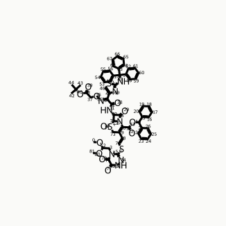 COC(Cn1c(SC=CC2=C(C(=O)OC(c3ccccc3)c3ccccc3)N3C(=O)C(NC(=O)C(=NOCC(=O)OC(C)(C)C)c4csc(NC(c5ccccc5)(c5ccccc5)c5ccccc5)n4)C3[S+]([O-])C2)n[nH]c(=O)c1=O)OC